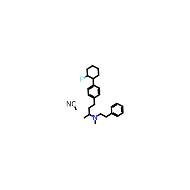 CC#N.CC(CCc1ccc(C2CCCCC2F)cc1)N(C)CCc1ccccc1